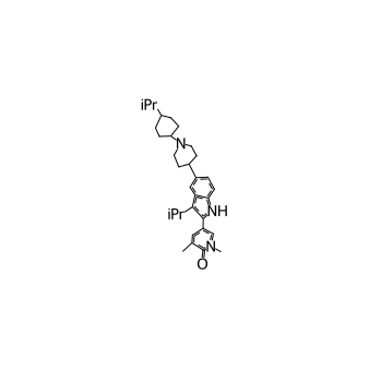 Cc1cc(-c2[nH]c3ccc(C4CCN(C5CCC(C(C)C)CC5)CC4)cc3c2C(C)C)cn(C)c1=O